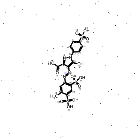 Cc1cc(/N=N/c2c(C(=O)O)nn(-c3ccc(S(=O)(=O)O)cc3)c2O)c(S(=O)(=O)O)cc1S(=O)(=O)O